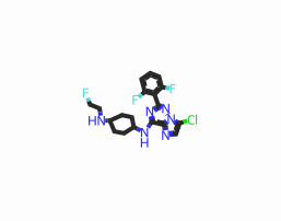 FCCNC1CCC(Nc2nc(-c3c(F)cccc3F)nn3c(Cl)cnc23)CC1